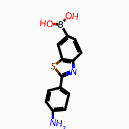 Nc1ccc(-c2nc3ccc(B(O)O)cc3s2)cc1